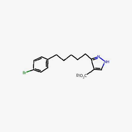 CCOC(=O)c1c[nH]nc1CCCCCc1ccc(Br)cc1